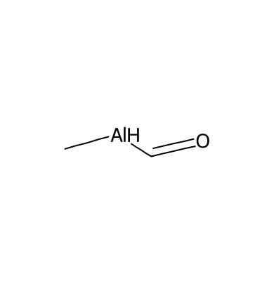 [CH3][AlH][CH]=O